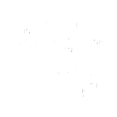 Cl.NC1CCN(c2c(C=C3SC(=O)NC3=O)cccc2OCC(F)(F)F)C1